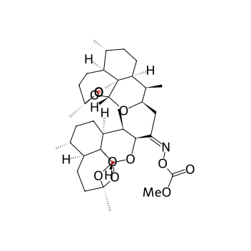 COC(=O)O/N=C(/C[C@H]1O[C@@H]2O[C@]3(C)CC[C@H]4[C@H](C)CC[C@@H]([C@H]1C)[C@@]24OO3)[C@H]1O[C@@H]2O[C@]3(C)CC[C@H]4[C@H](C)CC[C@@H]([C@H]1C)[C@@]24OO3